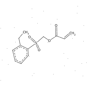 C=CC(=O)OCS(=O)(=O)c1ccccc1CC